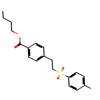 CCCCOC(=O)c1ccc(CCS(=O)(=O)c2ccc(C)cc2)cc1